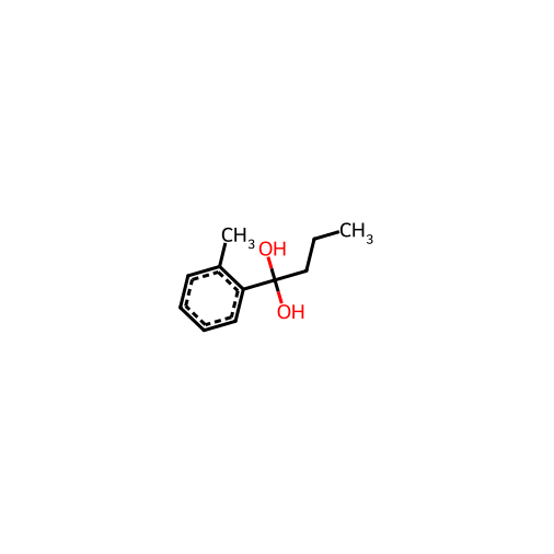 CCCC(O)(O)c1ccccc1C